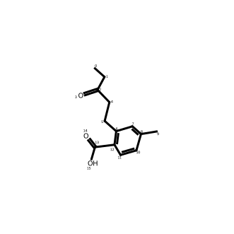 CCC(=O)CCc1cc(C)ccc1C(=O)O